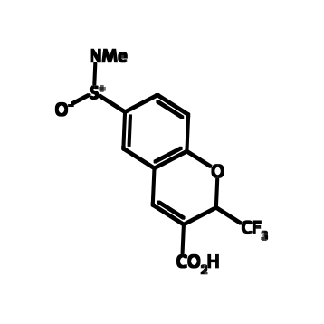 CN[S+]([O-])c1ccc2c(c1)C=C(C(=O)O)C(C(F)(F)F)O2